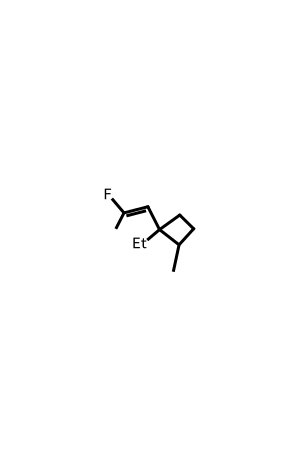 CCC1(/C=C(\C)F)CCC1C